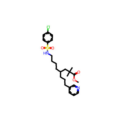 COC(=O)C(C)(C)CC(CCCCNS(=O)(=O)c1ccc(Cl)cc1)CCCc1cccnc1